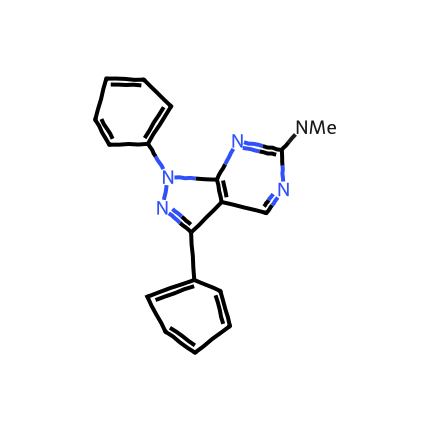 CNc1ncc2c(-c3ccccc3)nn(-c3ccccc3)c2n1